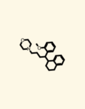 COc1ccccc1C(CCCN1CCOCC1)C1CCCc2ccccc21